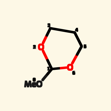 COC1OCCCO1